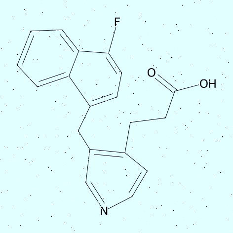 O=C(O)CCc1ccncc1Cc1ccc(F)c2ccccc12